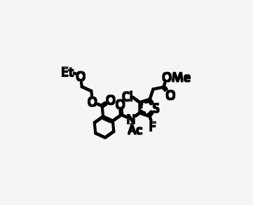 CCOCCOC(=O)C1=C(C(=O)N(C(C)=O)c2c(F)sc(CC(=O)OC)c2Cl)CCCC1